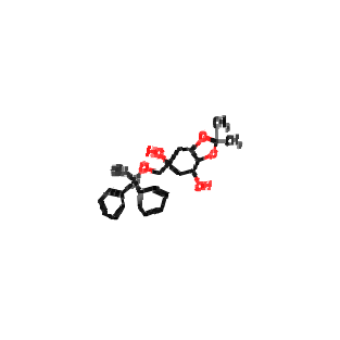 CC1(C)OC2CC(O)(CO[Si](c3ccccc3)(c3ccccc3)C(C)(C)C)CC(O)C2O1